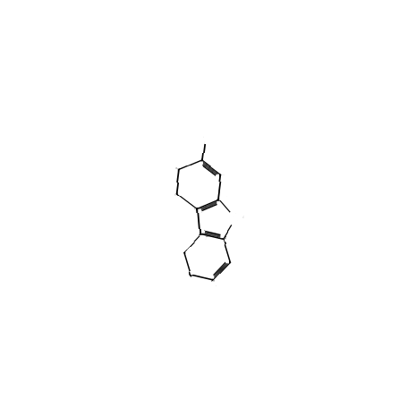 CC1=Cc2sc3c(c2CC1)CCC=C3